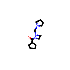 O=C(C1CCCC1)N1CCN1CN1CCCC1